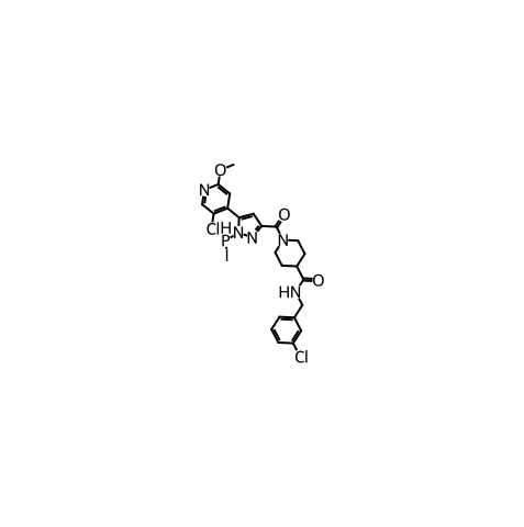 COc1cc(-c2cc(C(=O)N3CCC(C(=O)NCc4cccc(Cl)c4)CC3)nn2PI)c(Cl)cn1